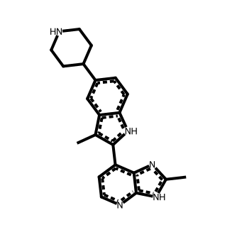 Cc1nc2c(-c3[nH]c4ccc(C5CCNCC5)cc4c3C)ccnc2[nH]1